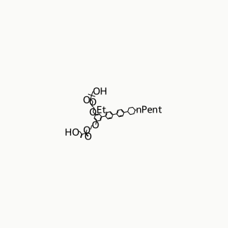 C=C(CO)C(=O)OCCOc1cc(OCCOC(=O)C(C)(C)CO)cc(-c2ccc(-c3ccc(C4CCC(CCCCC)CC4)cc3)cc2CC)c1